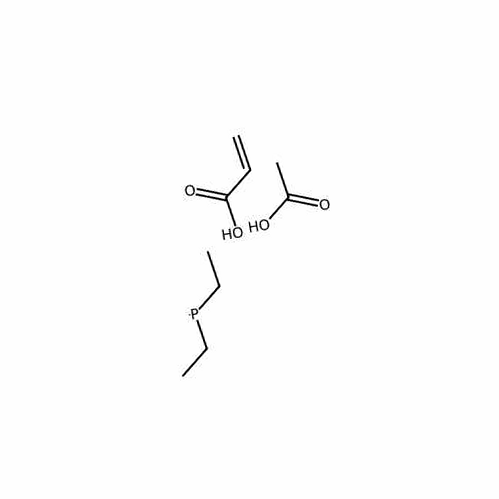 C=CC(=O)O.CC(=O)O.CC[P]CC